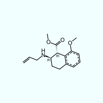 C=CCN[C@@H]1CCc2cccc(OC)c2[C@H]1C(=O)OC